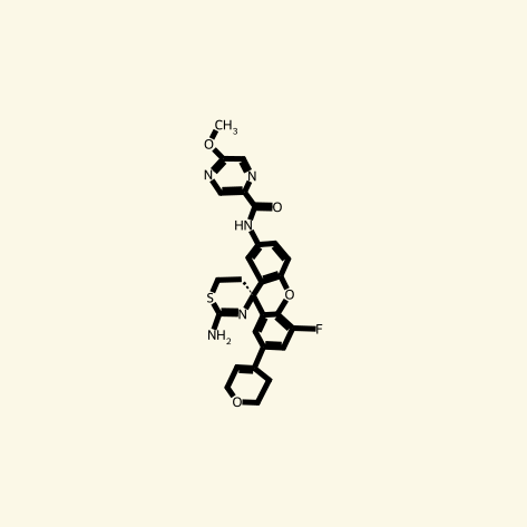 COc1cnc(C(=O)Nc2ccc3c(c2)[C@@]2(CCSC(N)=N2)c2cc(C4=CCOCC4)cc(F)c2O3)cn1